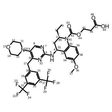 CC[C@@H]1C[C@H](Nc2ncc(N3CCOCC3)c(Cc3cc(C(F)(F)F)cc(C(F)(F)F)c3)n2)c2cc(OC)ccc2N1C(=O)OCCC(=O)O